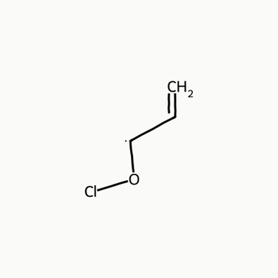 C=C[CH]OCl